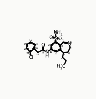 CCCC1CCN=Cc2c1cc(NC(=O)Cc1ccccc1Cl)cc2S(N)(=O)=O